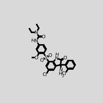 CCN(CC)C(=O)Nc1ccc(S(=O)(=O)c2cc(Cl)cc3c2NC(=O)C3(N)c2ccccc2Cl)c(OC)c1